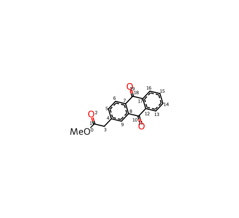 COC(=O)Cc1ccc2c(c1)C(=O)c1ccccc1C2=O